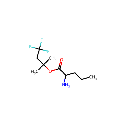 CCCC(N)C(=O)OC(C)(C)CC(F)(F)F